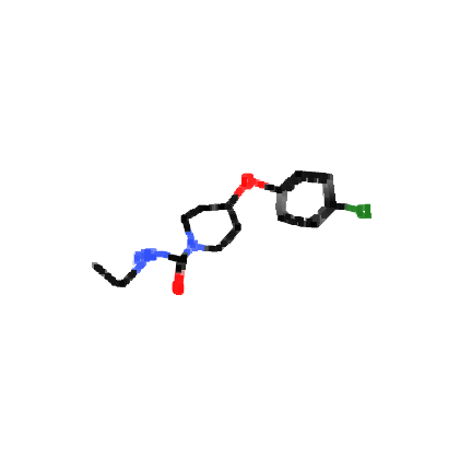 CCNC(=O)N1CCC(Oc2ccc(Cl)cc2)CC1